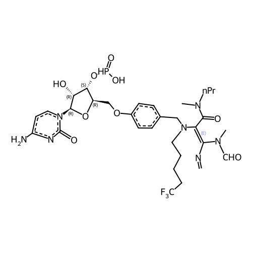 C=N/C(=C(/C(=O)N(C)CCC)N(CCCCC(F)(F)F)Cc1ccc(OC[C@H]2O[C@@H](n3ccc(N)nc3=O)[C@H](O)[C@@H]2O[PH](=O)O)cc1)N(C)C=O